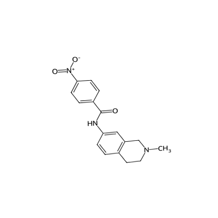 CN1CCc2ccc(NC(=O)c3ccc([N+](=O)[O-])cc3)cc2C1